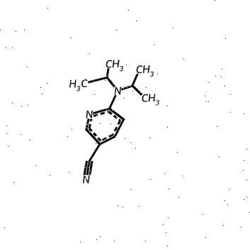 CC(C)N(c1ccc(C#N)cn1)C(C)C